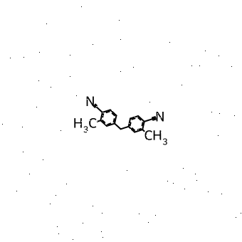 Cc1cc(Cc2ccc(C#N)c(C)c2)ccc1C#N